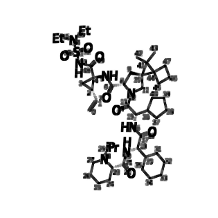 C=C[C@@H]1C[C@]1(NC(=O)[C@@H]1C[C@@]2(CN1C(=O)[C@@H](NC(=O)[C@@H](NC(=O)[C@@H]1CCCCN1C(C)C)C1CCCCC1)C1CCCC1)C(C)(C)C21CCC1)C(=O)NS(=O)(=O)N(CC)CC